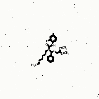 CCCCCCCN(C(=O)Nc1ccc(F)cc1F)C(OCC(OC)OC)c1ccccc1